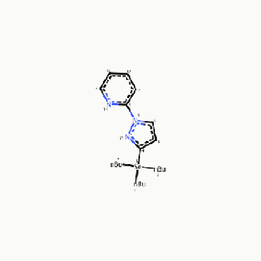 CCC[CH2][Sn]([CH2]CCC)([CH2]CCC)[c]1ccn(-c2ccccn2)n1